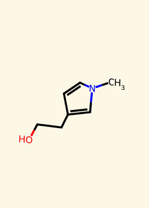 Cn1ccc(CCO)c1